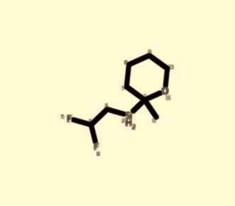 CC1([SiH2]CC(F)F)CCCCO1